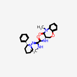 CN/C(=N\N1CCCC[C@@H]1c1ccccc1)C(=O)N[C@H]1COc2ccccc2N(C)C1=O